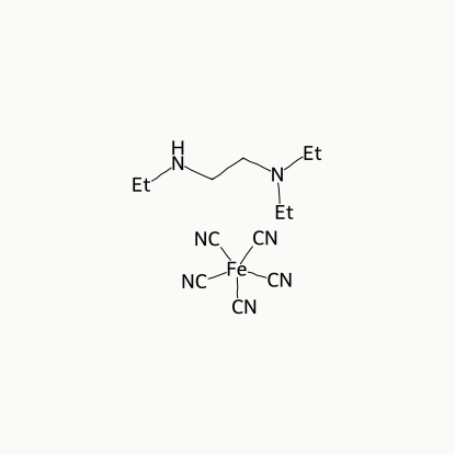 CCNCCN(CC)CC.N#[C][Fe]([C]#N)([C]#N)([C]#N)[C]#N